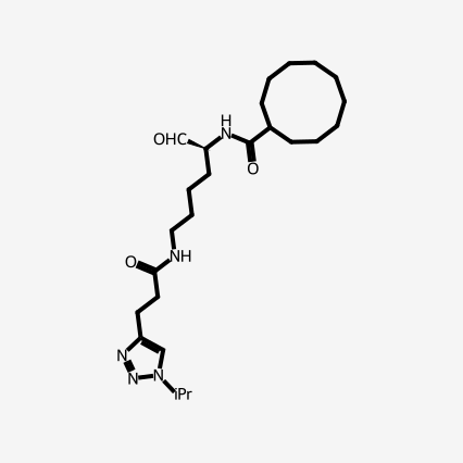 CC(C)n1cc(CCC(=O)NCCCC[C@@H](C=O)NC(=O)C2CCCCCCCCC2)nn1